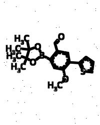 COc1cc(B2OC(C)(C)C(C)(C)O2)c(C=O)cc1-c1cccs1